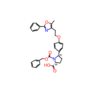 Cc1oc(-c2ccccc2)nc1CCOc1ccc([C@H]2CC[C@H](C(=O)O)N2C(=O)OCc2ccccc2)cc1